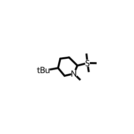 CN1CC(C(C)(C)C)CCC1S(C)(C)C